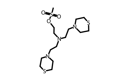 CS(=O)(=O)OCCN(CCN1CCSCC1)CCN1CCSCC1